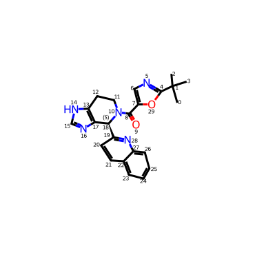 CC(C)(C)c1ncc(C(=O)N2CCc3[nH]cnc3[C@@H]2c2ccc3ccccc3n2)o1